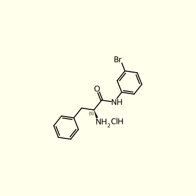 Cl.N[C@@H](Cc1ccccc1)C(=O)Nc1cccc(Br)c1